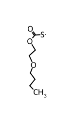 CCCCOCCOC(=O)[S]